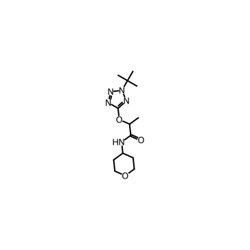 CC(Oc1nnn(C(C)(C)C)n1)C(=O)NC1CCOCC1